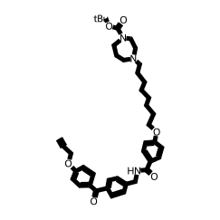 C#CCOc1ccc(C(=O)c2ccc(CNC(=O)c3ccc(OCCCCCCCCN4CCCN(C(=O)OC(C)(C)C)CC4)cc3)cc2)cc1